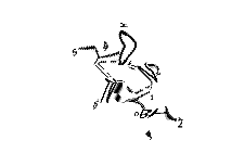 Bc1noc(C)n1